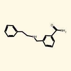 NC(=O)c1cccc(CNCCc2ccccc2)c1